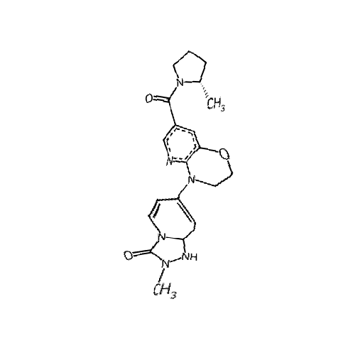 C[C@H]1CCCN1C(=O)c1cnc2c(c1)OCCN2C1=CC2NN(C)C(=O)N2C=C1